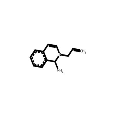 C=CCN1C=Cc2ccccc2C1N